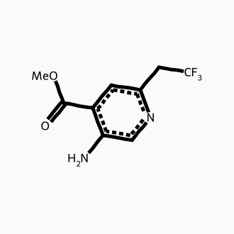 COC(=O)c1cc(CC(F)(F)F)ncc1N